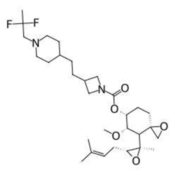 CO[C@H]1C([C@@]2(C)O[C@@H]2CC=C(C)C)[C@]2(CC[C@H]1OC(=O)N1CC(CCC3CCN(CC(C)(F)F)CC3)C1)CO2